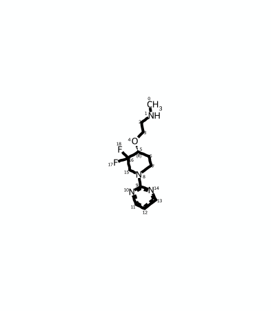 CNCCO[C@@H]1CCN(c2ncccn2)CC1(F)F